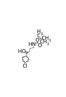 CC(C)(C)OC(=O)NCCC[C@@H](O)c1ccc(Cl)cc1